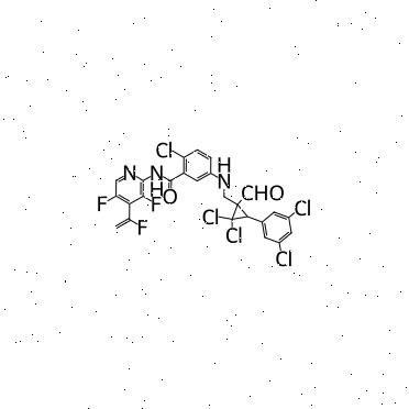 C=C(F)c1c(F)cnc(NC(=O)c2cc(NCC3(C=O)C(c4cc(Cl)cc(Cl)c4)C3(Cl)Cl)ccc2Cl)c1F